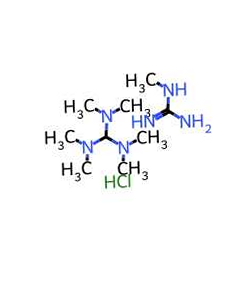 CN(C)C(N(C)C)N(C)C.CNC(=N)N.Cl